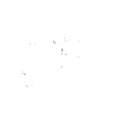 CC1(CCC(CC=O)C(=O)N2C(=O)OC[C@H]2Cc2ccccc2)OCCO1